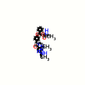 CCNc1ncc2c(n1)N(C)CCN(Cc1ccc(OC(COC(=O)NC)c3ccccc3)cc1)C2=O